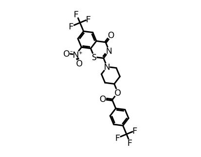 O=C(OC1CCN(c2nc(=O)c3cc(C(F)(F)F)cc([N+](=O)[O-])c3s2)CC1)c1ccc(C(F)(F)F)cc1